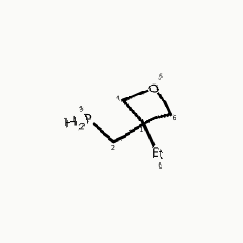 CCC1(CP)COC1